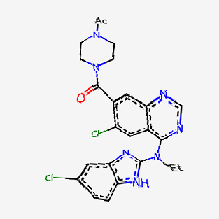 CCN(c1nc2cc(Cl)ccc2[nH]1)c1ncnc2cc(C(=O)N3CCN(C(C)=O)CC3)c(Cl)cc12